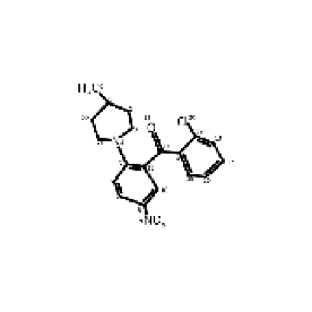 CC1CCN(c2ccc([N+](=O)[O-])cc2C(=O)c2ccccc2Cl)CC1